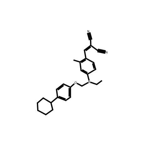 CCN(COc1ccc(C2CCCCC2)cc1)c1ccc(C=C(C#N)C#N)c(C)c1